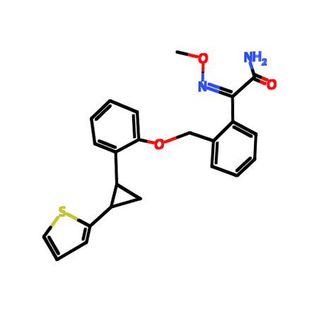 CON=C(C(N)=O)c1ccccc1COc1ccccc1C1CC1c1cccs1